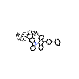 CC1(C)c2cc3c4ccccc4n(-c4c5ccccc5c(-c5ccc(-c6ccccc6)cc5)c5ccccc45)c3cc2C(C)(C)C1(C)C